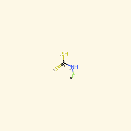 FNC(=S)S